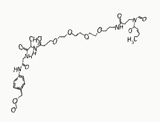 C/C=C\C(=O)N(C=O)CCC(=O)NCCOCCOCCOCCOCCC(=O)NC(C)C(=O)NCC(=O)Nc1ccc(COC=O)cc1